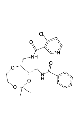 CC1(C)OCCO[C@H](CNC(=O)c2cnccc2Cl)[C@H](CNC(=O)c2ccccc2)O1